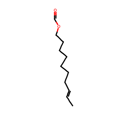 CC=CCCCCCCCOC=O